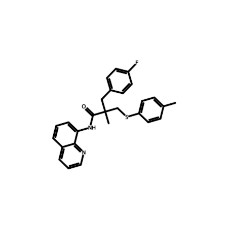 Cc1ccc(SCC(C)(Cc2ccc(F)cc2)C(=O)Nc2cccc3cccnc23)cc1